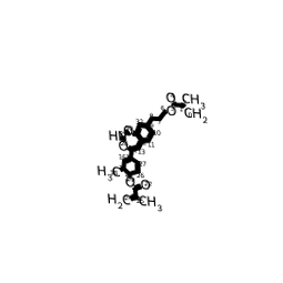 C=C(C)C(=O)OCCCc1ccc2cc(C3=CC(C)C(OC(=O)C(=C)C)C=C3)o[nH]oc2c1